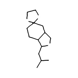 CC(C)CC1OCC2CC3(CCC21)OCCO3